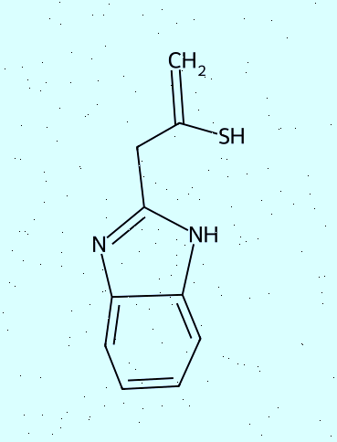 C=C(S)Cc1nc2ccccc2[nH]1